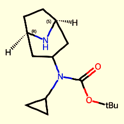 CC(C)(C)OC(=O)N(C1CC1)C1C[C@H]2CC[C@@H](C1)N2